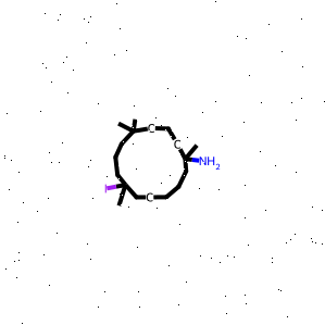 CC1(C)CCCC(C)(N)CCCCCC(C)(I)CCC1